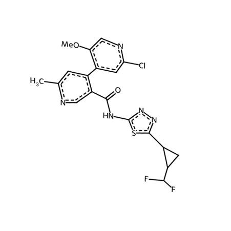 COc1cnc(Cl)cc1-c1cc(C)ncc1C(=O)Nc1nnc(C2CC2C(F)F)s1